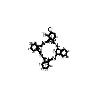 Clc1ccc2c3nc4nc(nc5[nH]c(nc6nc(nc([nH]3)c2[c]1[Ti])-c1ccccc1-6)c1ccccc51)-c1ccccc1-4